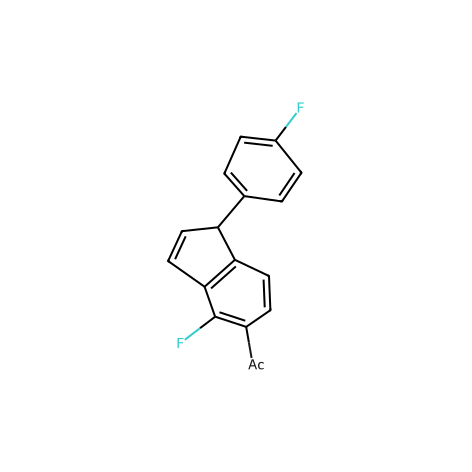 CC(=O)c1ccc2c(c1F)C=CC2c1ccc(F)cc1